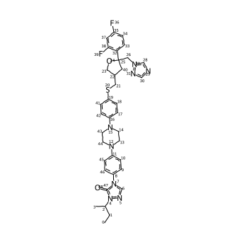 CCC(C)n1ncn(-c2ccc(N3CCN(c4ccc(SCC5COC(Cn6cncn6)(c6ccc(F)cc6F)C5)cc4)CC3)cc2)c1=O